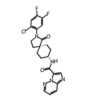 O=C(N[C@H]1CC[C@@]2(CCN(c3cc(F)c(F)cc3Cl)C2=O)CC1)c1cnc2cccnn12